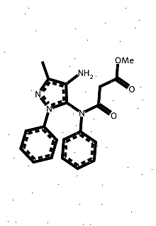 COC(=O)CC(=O)N(c1ccccc1)c1c(N)c(C)nn1-c1ccccc1